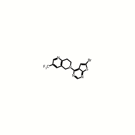 FC(F)(F)c1cnc2c(c1)CN(c1ncnc3sc(Br)cc13)CC2